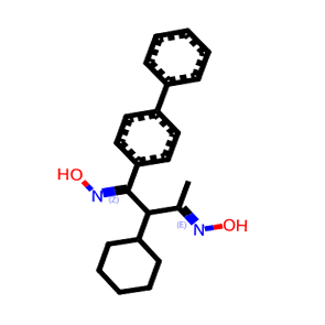 C/C(=N\O)C(/C(=N/O)c1ccc(-c2ccccc2)cc1)C1CCCCC1